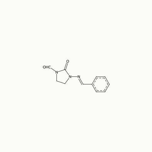 O=[C]N1CCN(N=Cc2ccccc2)C1=O